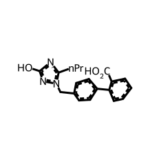 CCCc1nc(O)nn1Cc1ccc(-c2ccccc2C(=O)O)cc1